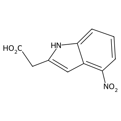 O=C(O)Cc1cc2c([N+](=O)[O-])cccc2[nH]1